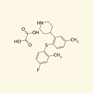 Cc1ccc(Sc2ccc(F)cc2C)c(C2CCNCC2)c1.O=C(O)C(=O)O